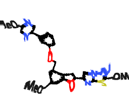 COc1cc(COc2cccc(-c3cnc(OC)cn3)c2)c2cc(-c3cn4nc(OC)sc4n3)oc2c1